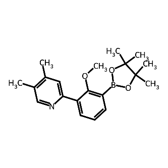 COc1c(B2OC(C)(C)C(C)(C)O2)cccc1-c1cc(C)c(C)cn1